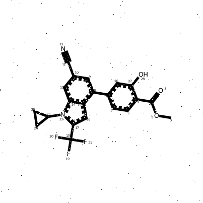 COC(=O)c1ccc(-c2cc(C#N)cc3c2cc(C(F)(F)F)n3C2CC2)cc1O